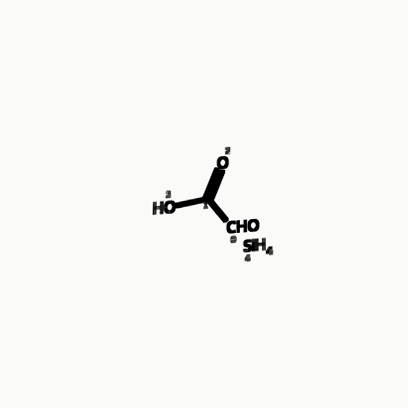 O=CC(=O)O.[SiH4]